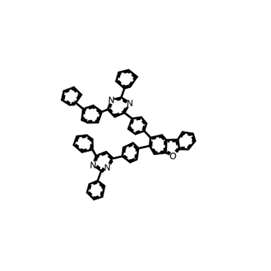 c1ccc(-c2cccc(-c3cc(-c4ccc(-c5cc6c(cc5-c5ccc(-c7cc(-c8ccccc8)nc(-c8ccccc8)n7)cc5)oc5ccccc56)cc4)nc(-c4ccccc4)n3)c2)cc1